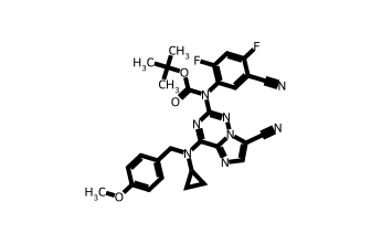 COc1ccc(CN(c2nc(N(C(=O)OC(C)(C)C)c3cc(C#N)c(F)cc3F)nn3c(C#N)cnc23)C2CC2)cc1